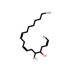 CC/C=C\CC(O)C(C/C=C\C/C=C\CCCCCC[C]=O)[N+](=O)[O-]